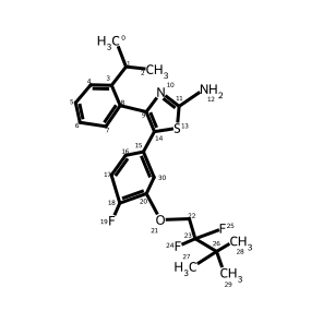 CC(C)c1ccccc1-c1nc(N)sc1-c1ccc(F)c(OCC(F)(F)C(C)(C)C)c1